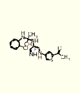 CC(=O)c1cc(N/C=C(\C=N)NC(C)(C)Nc2ccccc2Cl)cs1